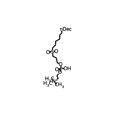 CCCCCCCCCCCCCCCCS(=O)(=O)CCCOP(=O)(O)OCC[N+](C)(C)C